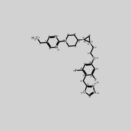 CCc1cnc(N2CCC([C@H]3C[C@H]3CCOc3cc(F)c(Cc4nnco4)c(F)c3)CC2)nc1